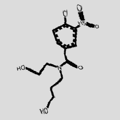 O=C(c1ccc(Cl)c([SH](=O)=O)c1)N(CCO)CCCO